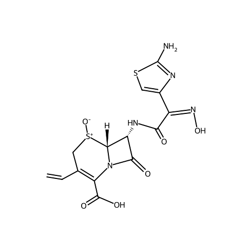 C=CC1=C(C(=O)O)N2C(=O)[C@@H](NC(=O)/C(=N\O)c3csc(N)n3)[C@H]2[S+]([O-])C1